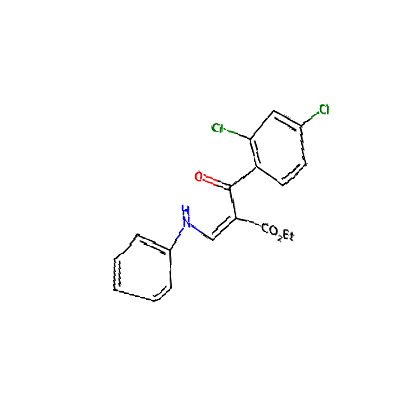 CCOC(=O)C(=CNc1ccccc1)C(=O)c1ccc(Cl)cc1Cl